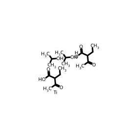 CC(C)O.CC(C)O.CCC(C(C)=O)C(=O)O.CCC(C(C)=O)C(=O)O.[Ti]